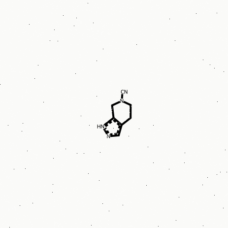 N#CN1CCc2cn[nH]c2C1